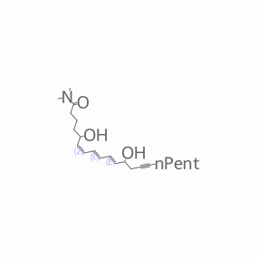 CCCCCC#CCC(O)/C=C/C=C/C=C\C(O)CCCC(=O)N(C)C